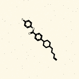 C=CCCCC1CCC(c2ccc(C(=O)Oc3ccc(F)cc3)cc2)CC1